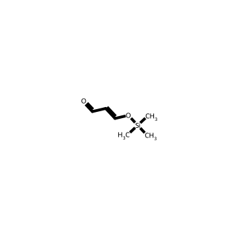 C[Si](C)(C)O/C=C/C=O